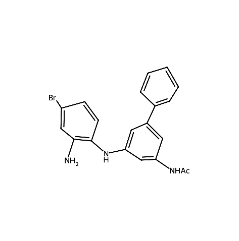 CC(=O)Nc1cc(Nc2ccc(Br)cc2N)cc(-c2ccccc2)c1